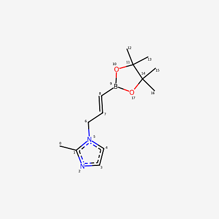 Cc1nccn1CC=CB1OC(C)(C)C(C)(C)O1